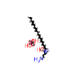 CCCCCCCCCCCCCCCCCCC(O)C[N+](C)(C)CCCN.O=P([O-])(O)O